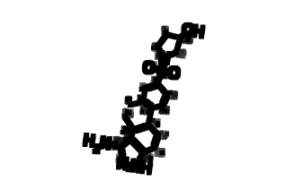 Cc1cc(S(=O)(=O)N2CCC(O)C2)ccc1-c1ccc2[nH]nc(N)c2c1C